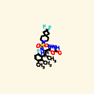 Cc1ccc(F)c([C@@H](C)[C@H](NS(=O)(=O)N2CCC3(CC2)CC(F)(F)C3)c2n[nH]c(=O)o2)c1C